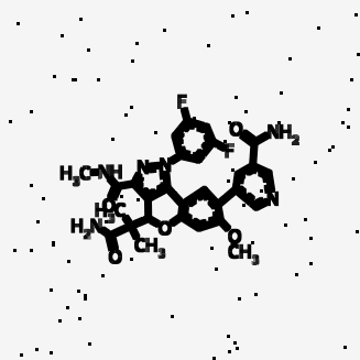 CNC(=O)c1nn(-c2cc(F)cc(F)c2)c2c1C(C(C)(C)C(N)=O)Oc1cc(OC)c(-c3cncc(C(N)=O)c3)cc1-2